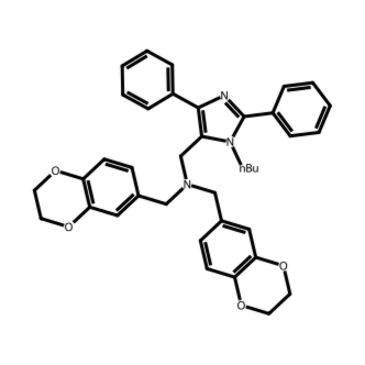 CCCCn1c(-c2ccccc2)nc(-c2ccccc2)c1CN(Cc1ccc2c(c1)OCCO2)Cc1ccc2c(c1)OCCO2